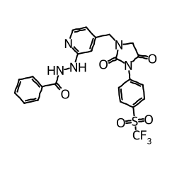 O=C(NNc1cc(CN2CC(=O)N(c3ccc(S(=O)(=O)C(F)(F)F)cc3)C2=O)ccn1)c1ccccc1